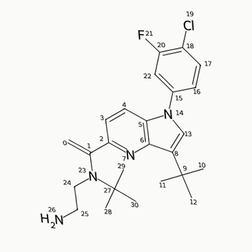 C=C(c1ccc2c(n1)c(C(C)(C)C)cn2-c1ccc(Cl)c(F)c1)N(CCN)C(C)(C)C